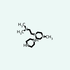 C1CNCCN1.CN(C)CCN1CCN(C)CC1